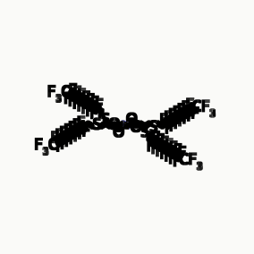 O=C(/C=C/C(=O)OCC(CSCCC(F)(F)C(F)(F)C(F)(F)C(F)(F)C(F)(F)C(F)(F)C(F)(F)C(F)(F)F)SCCC(F)(F)C(F)(F)C(F)(F)C(F)(F)C(F)(F)C(F)(F)C(F)(F)C(F)(F)F)OCC(CSCCC(F)(F)C(F)(F)C(F)(F)C(F)(F)C(F)(F)C(F)(F)C(F)(F)C(F)(F)F)SCCC(F)(F)C(F)(F)C(F)(F)C(F)(F)C(F)(F)C(F)(F)C(F)(F)C(F)(F)F